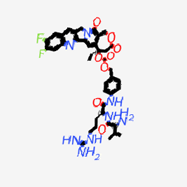 CC[C@@]1(OC(=O)OCc2ccc(NC(=O)[C@H](CCCNC(=N)N)NC(=O)[C@@H](N)C(C)C)cc2)CC(=O)OCc2c1cc1n(c2=O)Cc2cc3cc(F)c(F)cc3nc2-1